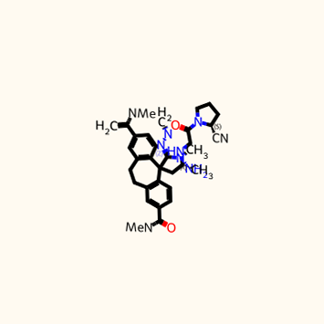 C=N/N=C(\N(C)N)C1(C[C@@H](C)NCC(=O)N2CCC[C@H]2C#N)c2ccc(C(=C)NC)cc2CCc2cc(C(=O)NC)ccc21